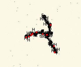 CC(C)(C)C(CN(CCCOc1ccc2c(Nc3cc(CC(=O)Nc4cccc(F)c4F)[nH]n3)ncnc2c1)C1CCCC1)(OP(=O)(OC(CN(CCCOc1ccc2c(Nc3cc(CC(=O)Nc4cccc(F)c4F)[nH]n3)ncnc2c1)C1CCCC1)(C(C)(C)C)C(C)(C)C)OC(CN(CCCOc1ccc2c(Nc3cc(CC(=O)Nc4cccc(F)c4F)[nH]n3)ncnc2c1)C1CCCC1)(C(C)(C)C)C(C)(C)C)C(C)(C)C